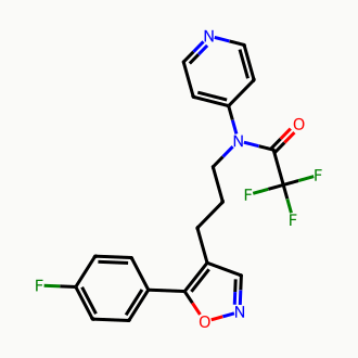 O=C(N(CCCc1cnoc1-c1ccc(F)cc1)c1ccncc1)C(F)(F)F